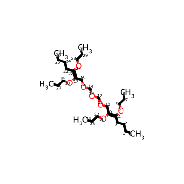 CCCCC(OCCC)=C(COCOCOCC(OCCC)=C(CCCC)OCCC)OCCC